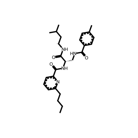 CCCCc1cccc(C(=O)N[C@@H](CNC(=O)c2ccc(C)cc2)C(=O)N[CH]CC(C)C)n1